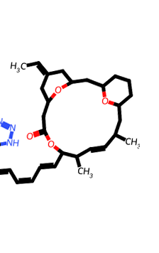 C/C=C1\CC2CC(=O)OC(/C=C/C=C\C=C(/C)Cc3nnn[nH]3)C(C)/C=C/C(C)CC3CCCC(CC(C1)O2)O3